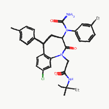 CCc1cccc(N(C(N)=O)C2CC(c3ccc(C)cc3)c3ccc(Cl)cc3N(CC(=O)NC(C)(C)CC)C2=O)c1